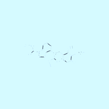 COc1c(C)cnc(CN(C(=O)OC(C)(C)C)c2cccc3c2ccn3C(=O)OC(C)(C)C)c1C